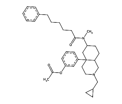 CC(=O)Oc1cccc(C23CCN(CC4CC4)CC2CCC(N(C)C(=O)CCCCCc2ccccc2)C3)c1